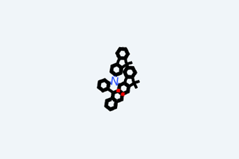 CC1(C)c2ccccc2-c2ccc(N(c3ccccc3-c3cccc4ccccc34)c3cccc4c3-c3ccccc3C4(C)C)cc21